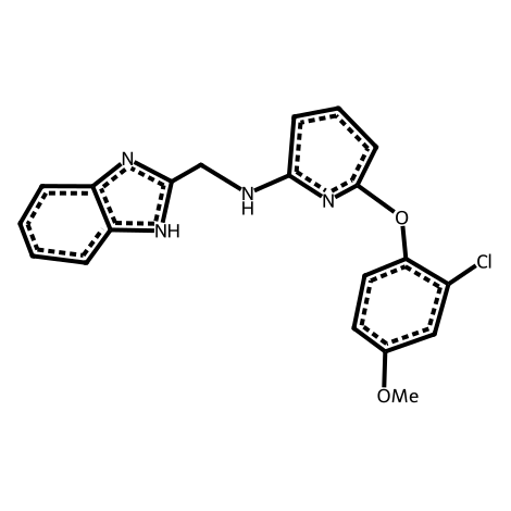 COc1ccc(Oc2cccc(NCc3nc4ccccc4[nH]3)n2)c(Cl)c1